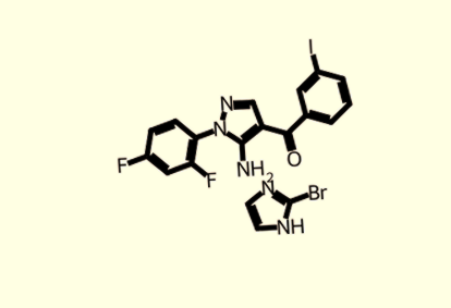 Brc1ncc[nH]1.Nc1c(C(=O)c2cccc(I)c2)cnn1-c1ccc(F)cc1F